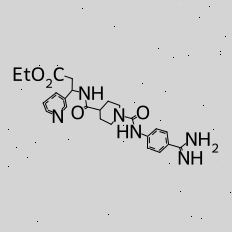 CCOC(=O)CC(NC(=O)C1CCN(C(=O)Nc2ccc(C(=N)N)cc2)CC1)c1cccnc1